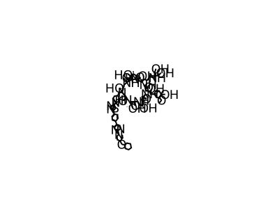 COc1cc(C[C@@H](O)[C@@H]2NC(=O)[C@@H]3C[C@@H](O)CN3C(=O)[C@H]([C@@H](C)O)NC(=O)[C@H](C)N(CC3CCN(c4nnc(-c5ccc(-c6cnc(N7CCC(OC8CCCCC8)CC7)nc6)cc5)s4)CC3)[C@@H](O)CNC(=O)[C@@H]3[C@@H](O)[C@@H](C)CN3C(=O)[C@H]([C@H](O)CCNC(CO)CO)NC2=O)ccc1O